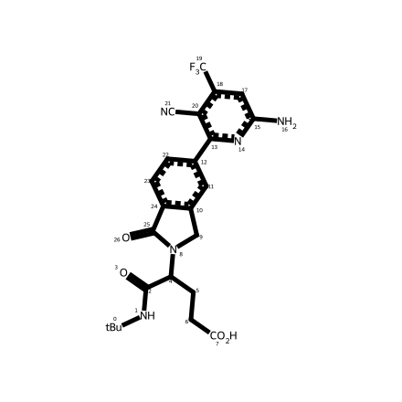 CC(C)(C)NC(=O)C(CCC(=O)O)N1Cc2cc(-c3nc(N)cc(C(F)(F)F)c3C#N)ccc2C1=O